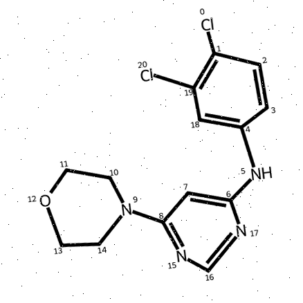 Clc1ccc(Nc2cc(N3CCOCC3)ncn2)cc1Cl